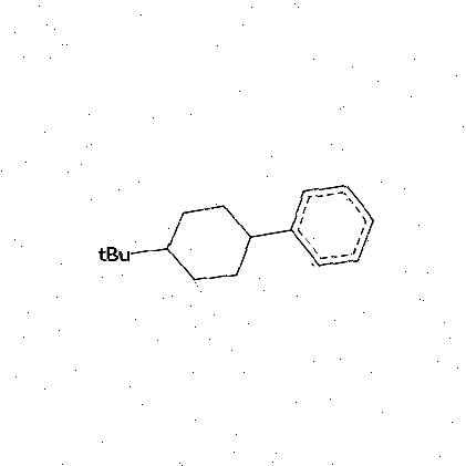 CC(C)(C)C1CCC(c2[c]cccc2)CC1